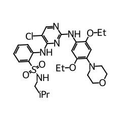 CCOc1cc(N2CCOCC2)c(OCC)cc1Nc1ncc(Cl)c(Nc2ccccc2S(=O)(=O)NCC(C)C)n1